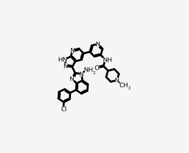 CN1CCC(C(=O)Nc2cncc(-c3cnc4[nH]nc(-c5nc6c(-c7cccc(Cl)c7)cccc6n5N)c4c3)c2)CC1